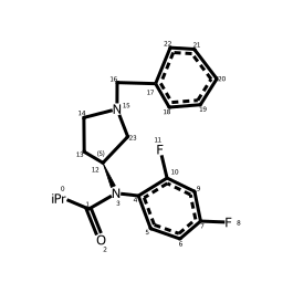 CC(C)C(=O)N(c1ccc(F)cc1F)[C@H]1CCN(Cc2ccccc2)C1